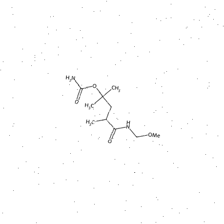 COCNC(=O)C(C)CC(C)(C)OC(N)=O